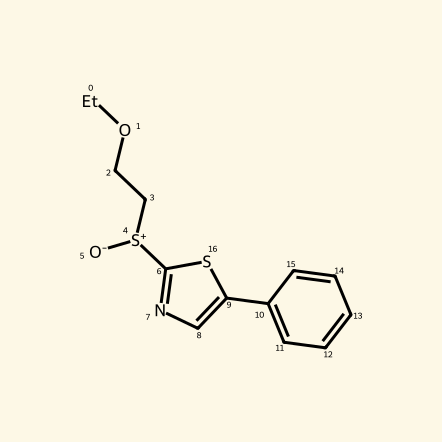 CCOCC[S+]([O-])c1ncc(-c2ccccc2)s1